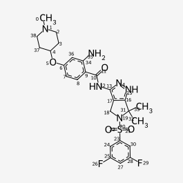 CN1CCC(Oc2ccc(C(=O)Nc3n[nH]c4c3CN(S(=O)(=O)c3cc(F)cc(F)c3)C4(C)C)c(N)c2)CC1